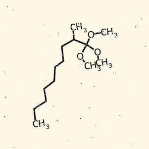 CCCCCCCCC(C)C(OC)(OC)OC